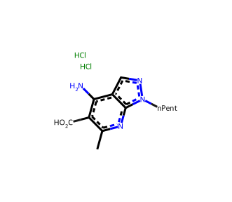 CCCCCn1ncc2c(N)c(C(=O)O)c(C)nc21.Cl.Cl